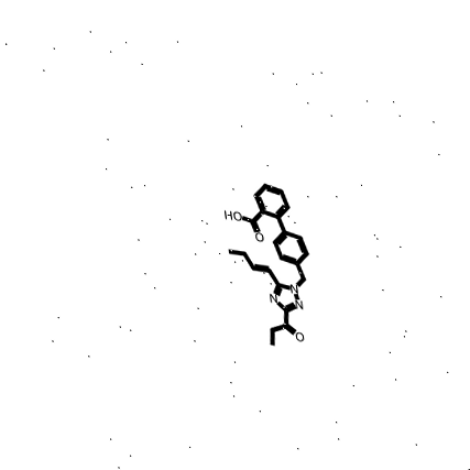 CC/C=C/c1nc(C(=O)CC)nn1Cc1ccc(-c2ccccc2C(=O)O)cc1